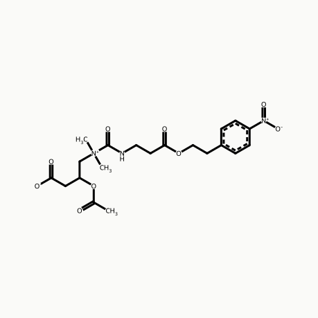 CC(=O)OC(CC(=O)[O-])C[N+](C)(C)C(=O)NCCC(=O)OCCc1ccc([N+](=O)[O-])cc1